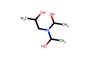 [CH2]C(O)CN(C(C)O)C(C)O